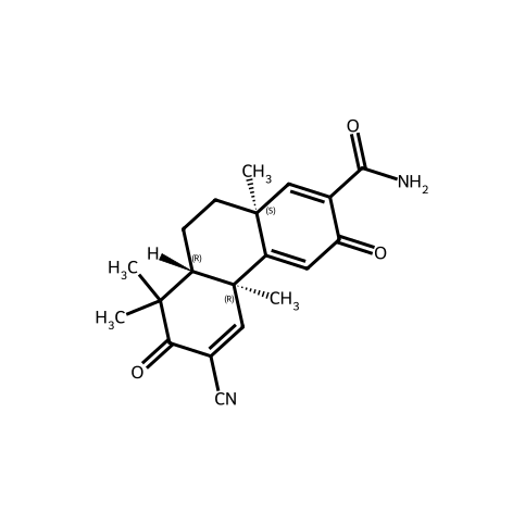 CC1(C)C(=O)C(C#N)=C[C@]2(C)C3=CC(=O)C(C(N)=O)=C[C@]3(C)CC[C@@H]12